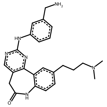 CN(C)CCCc1ccc2c(c1)-c1nc(Nc3cccc(CN)c3)ncc1CC(=O)N2